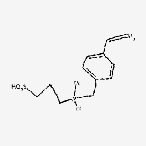 C=Cc1ccc(C[N+](CC)(CC)CCCS(=O)(=O)O)cc1